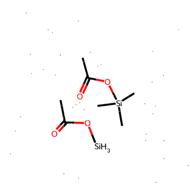 CC(=O)O[SiH3].CC(=O)O[Si](C)(C)C